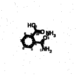 N.NC(=O)c1ccccc1C(=O)O